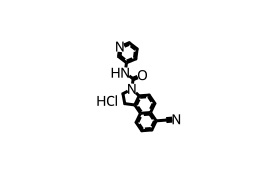 Cl.N#Cc1cccc2c3c(ccc12)N(C(=O)Nc1cccnc1)CC3